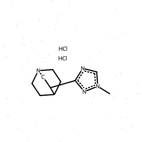 Cl.Cl.Cn1cnc(C2CN3CCC2CC3)n1